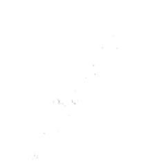 CCCCCCCCCCCCCOC(=O)CCCCCCBr